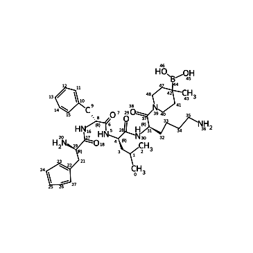 CC(C)C[C@@H](NC(=O)[C@@H](Cc1ccccc1)NC(=O)[C@H](N)Cc1ccccc1)C(=O)N[C@H](CCCCN)C(=O)N1CCC(C)(B(O)O)CC1